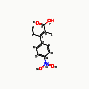 CC/C(=C(/C)C(=O)O)c1ccc([N+](=O)[O-])cc1